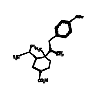 COc1ccc(CN(C)C2(C)CCN(C(=O)O)CC2C(C(F)(F)F)C(F)(F)F)cc1